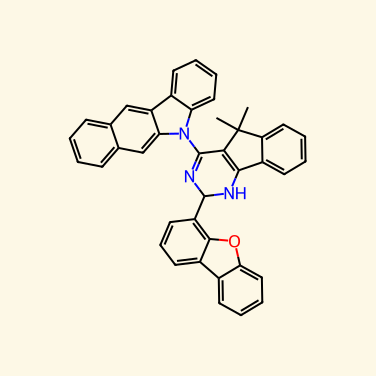 CC1(C)C2=C(NC(c3cccc4c3oc3ccccc34)N=C2n2c3ccccc3c3cc4ccccc4cc32)c2ccccc21